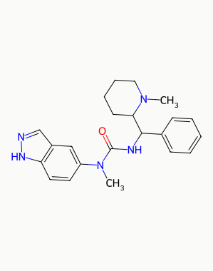 CN(C(=O)NC(c1ccccc1)C1CCCCN1C)c1ccc2[nH]ncc2c1